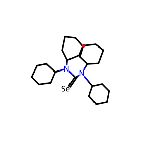 [Se]=C(N(C1CCCCC1)C1CCCCC1)N(C1CCCCC1)C1CCCCC1